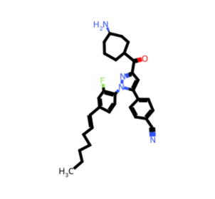 CCCCC/C=C/c1ccc(-n2nc(C(=O)C3CCC[C@@H](N)CC3)cc2-c2ccc(C#N)cc2)c(F)c1